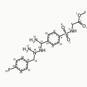 COC(=O)CNS(=O)(=O)c1ccc(C(N)NN(N)Cc2ccc(F)cc2)cc1